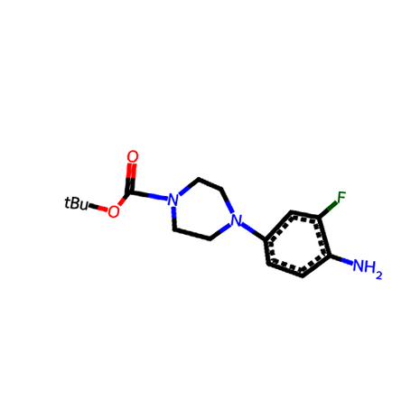 CC(C)(C)OC(=O)N1CCN(c2ccc(N)c(F)c2)CC1